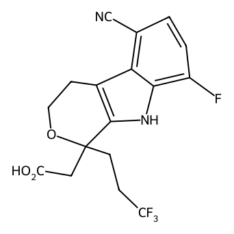 N#Cc1ccc(F)c2[nH]c3c(c12)CCOC3(CCC(F)(F)F)CC(=O)O